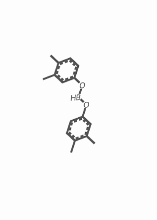 Cc1ccc(OBOc2ccc(C)c(C)c2)cc1C